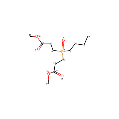 CCCCP(=O)(CCC(=O)OC)CCC(=O)OC